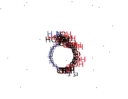 C[C@@H]1[C@H](O)[C@@H](C)/C=C/C=C/C=C/C=C/C=C/C=C/C=C/C(O[C@@H]2O[C@H](C)[C@@H](O)[C@H](N)[C@@H]2O)CC2O[C@](O)(C[C@@H](O)[C@H](O)CCC(=O)C[C@@H](O)C[C@@H](O)CC(=O)O[C@H]1C)C[C@H](O)[C@H]2C(=O)O